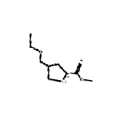 CCOCC1CN[C@H](C(=O)OC)C1